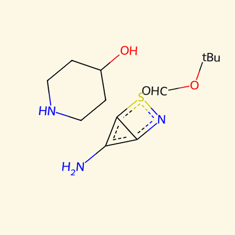 CC(C)(C)OC=O.Nc1c2nsc1-2.OC1CCNCC1